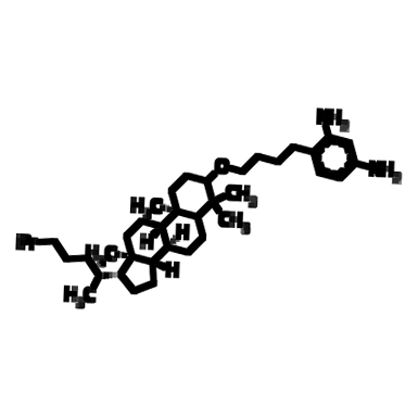 CC(C)CCCC(C)[C@H]1CC[C@H]2[C@@H]3CCC4C(C)(C)C(OCCCCc5ccc(N)cc5N)CC[C@]4(C)[C@H]3CC[C@]12C